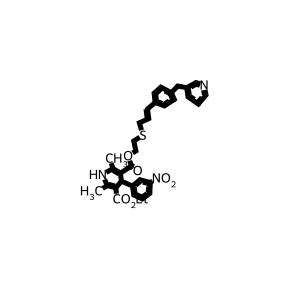 CCOC(=O)C1=C(C)NC(C)=C(C(=O)OCCSCC=Cc2ccc(Cc3cccnc3)cc2)C1c1cccc([N+](=O)[O-])c1